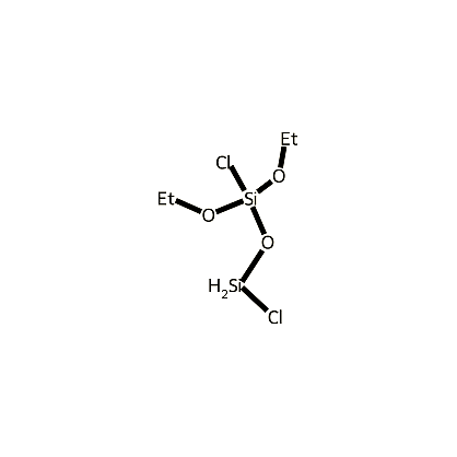 CCO[Si](Cl)(OCC)O[SiH2]Cl